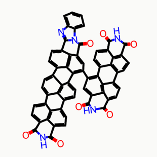 O=C1NC(=O)c2ccc3c4ccc5c6c(-c7cc8c9c(ccc%10c%11ccc%12c%13c(ccc(c7c9%10)c%13%11)C(=O)NC%12=O)C(=O)NC8=O)cc7c(=O)n8c9ccccc9nc8c8ccc(c9ccc(c%10ccc1c2c%103)c4c95)c6c78